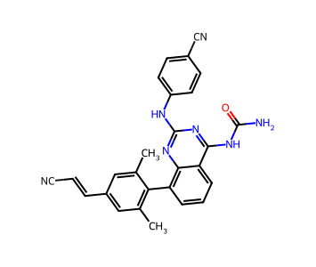 Cc1cc(C=CC#N)cc(C)c1-c1cccc2c(NC(N)=O)nc(Nc3ccc(C#N)cc3)nc12